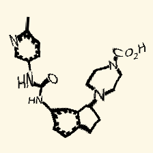 Cc1ccc(NC(=O)Nc2ccc3c(c2)C(N2CCN(C(=O)O)CC2)CC3)cn1